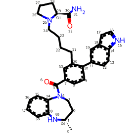 C[C@H]1CCN(C(=O)c2ccc(-c3ccc4[nH]ccc4c3)c(CCCCN3CCC[C@H]3C(N)=O)c2)c2ccccc2N1